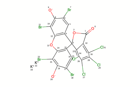 O=C1OC2(c3cc(Br)c([O-])c(Br)c3Oc3c2cc(Br)c([O-])c3Br)c2c(Cl)c(Cl)c(Cl)c(Cl)c21.[K+].[K+]